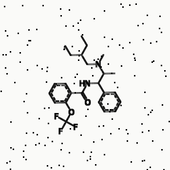 CCC(CC)CN(C)C(C)C(NC(=O)c1ccccc1OC(F)(F)F)c1ccccc1